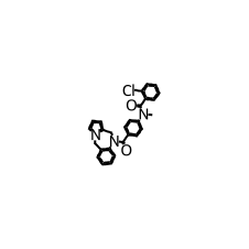 CN(C(=O)c1ccccc1Cl)c1ccc(C(=O)N2Cc3cccn3Cc3ccccc32)cc1